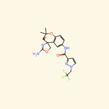 CC1(C)Oc2ccc(NC(=O)c3ccn(CC(F)(F)F)n3)cc2C2(COC(N)=N2)C12COC2